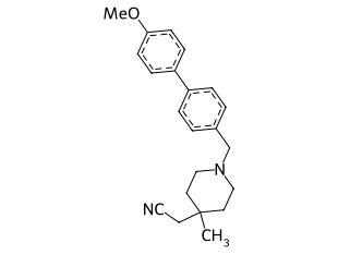 COc1ccc(-c2ccc(CN3CCC(C)(CC#N)CC3)cc2)cc1